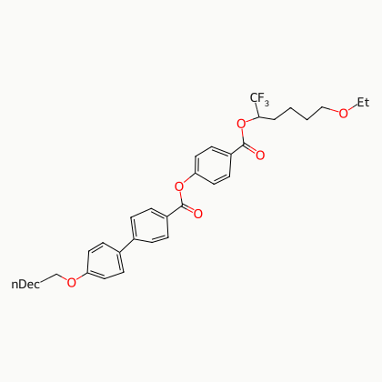 CCCCCCCCCCCOc1ccc(-c2ccc(C(=O)Oc3ccc(C(=O)OC(CCCCOCC)C(F)(F)F)cc3)cc2)cc1